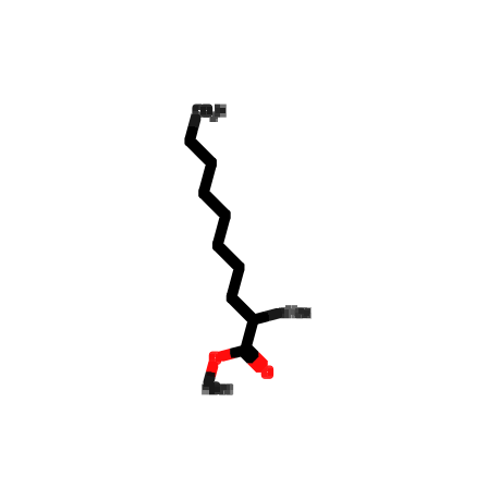 CCCCCCCCCCOC(=O)C(CCCCCC)CCCCCCCC(=O)O